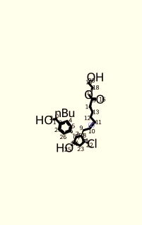 CCCCC(O)c1ccc([C@@H]2[C@@H](C/C=C\CCCC(=O)OCCO)[C@H](Cl)C[C@H]2O)cc1